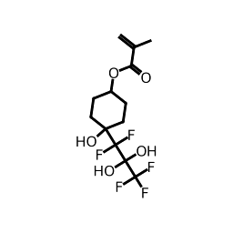 C=C(C)C(=O)OC1CCC(O)(C(F)(F)C(O)(O)C(F)(F)F)CC1